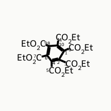 CCOC(=O)c1c(C(=O)OCC)c(C(=O)OCC)c(C(=O)OCC)c(C(=O)OCC)c1C(=O)OCC